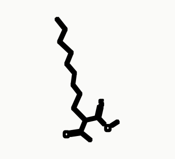 CCCCCCCCCC(C(C)=O)C(=S)OC